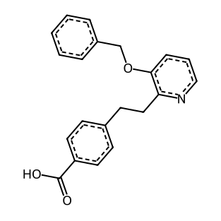 O=C(O)c1ccc(CCc2ncccc2OCc2ccccc2)cc1